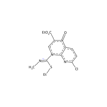 CCOC(=O)c1cn(/C(=N/C)SCC)c2nc(Cl)ccc2c1=O